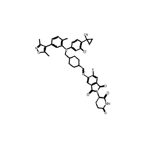 Cc1ccc(-c2c(C)noc2C)cc1N(CC1CCC(/C=N/c2cc3c(cc2F)C(=O)N(C2CCC(=O)NC2=O)C3=O)CC1)c1ccc(C2(C#N)CC2)c(Cl)c1